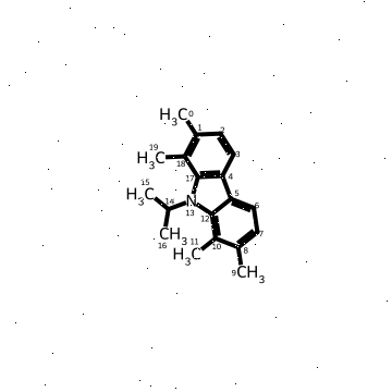 Cc1ccc2c3ccc(C)c(C)c3n(C(C)C)c2c1C